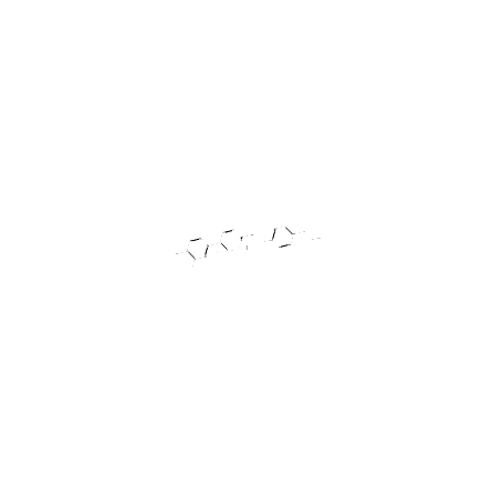 C=C(/C=C\C(=C/C)c1ccc(CC)c(F)c1F)CCc1ccc(CCC)cc1F